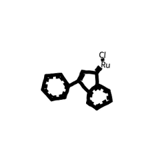 [Cl][Ru]=[C]1C=C(c2ccccc2)c2ccccc21